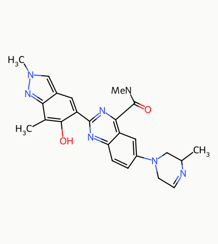 CNC(=O)c1nc(-c2cc3cn(C)nc3c(C)c2O)nc2ccc(N3CC=NC(C)C3)cc12